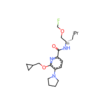 CC(C)C[C@@H](COCF)NC(=O)c1ccc(N2CCCC2)c(OCC2CC2)n1